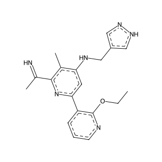 CCOc1ncccc1-c1cc(NCc2cn[nH]c2)c(C)c(C(C)=N)n1